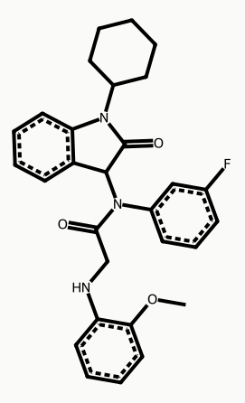 COc1ccccc1NCC(=O)N(c1cccc(F)c1)C1C(=O)N(C2CCCCC2)c2ccccc21